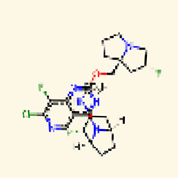 O=C(O)N[C@H]1C[C@H]2CC[C@@H]([C@@H]1F)N2c1nc(OC[C@@]23CCCN2C[C@H](F)C3)nc2c(F)c(Cl)ncc12